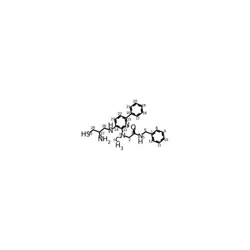 CN(CC(=O)NCc1ccccc1)c1nc(-c2ccccc2)ccc1NCC(N)CS